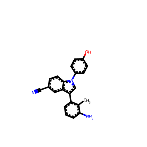 Cc1c(N)cccc1-c1cn(-c2ccc(O)cc2)c2ccc(C#N)cc12